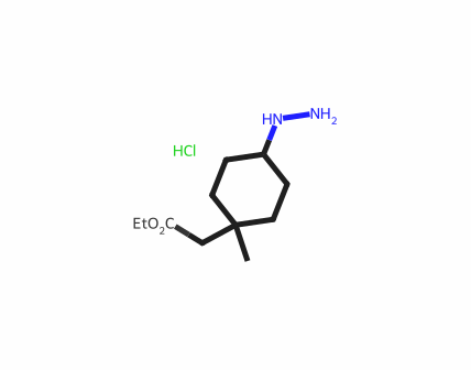 CCOC(=O)CC1(C)CCC(NN)CC1.Cl